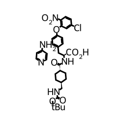 CC(C)(C)OC(=O)NC[C@H]1CC[C@H](C(=O)N[C@@H](Cc2ccc(Oc3cc(Cl)ccc3[N+](=O)[O-])cc2)C(=O)O)CC1.Nc1ccncc1